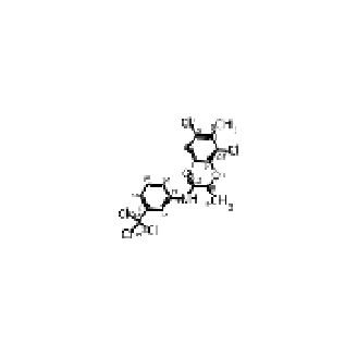 Cc1c(Cl)ccc(OC(C)C(=O)Nc2cccc(C(Cl)(Cl)Cl)c2)c1Cl